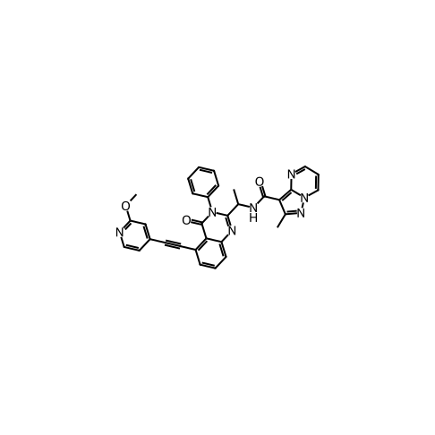 COc1cc(C#Cc2cccc3nc(C(C)NC(=O)c4c(C)nn5cccnc45)n(-c4ccccc4)c(=O)c23)ccn1